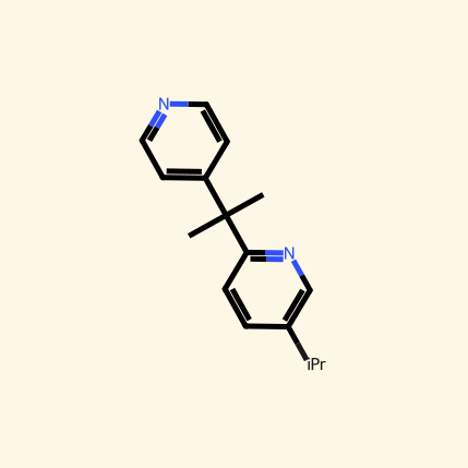 CC(C)c1ccc(C(C)(C)c2ccncc2)nc1